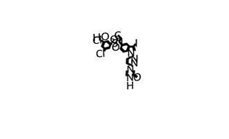 O=C(O)CN(c1ccc2c(c1)c(I)cn2-c1ccc(N2CCNC(=O)C2)nn1)S(=O)(=O)c1cc(Cl)cc(Cl)c1